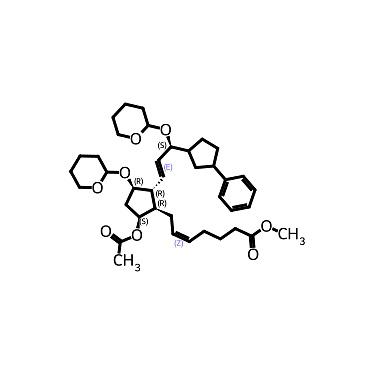 COC(=O)CCC/C=C\C[C@@H]1[C@@H](/C=C/[C@@H](OC2CCCCO2)C2CCC(c3ccccc3)C2)[C@H](OC2CCCCO2)C[C@@H]1OC(C)=O